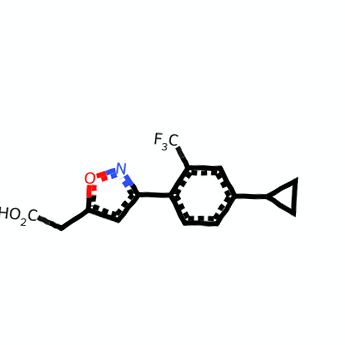 O=C(O)Cc1cc(-c2ccc(C3CC3)cc2C(F)(F)F)no1